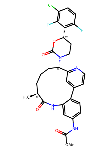 COC(=O)Nc1ccc2c(c1)NC(=O)[C@@H](C)CCC[C@H](N1CC[C@@H](c3c(F)ccc(Cl)c3F)OC1=O)c1cc-2ccn1